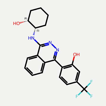 Oc1cc(C(F)(F)F)ccc1-c1nnc(N[C@H]2CCCC[C@H]2O)c2ccccc12